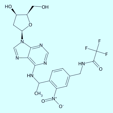 CC(Nc1ncnc2c1ncn2[C@H]1C[C@@H](O)[C@@H](CO)O1)c1ccc(CNC(=O)C(F)(F)F)cc1[N+](=O)[O-]